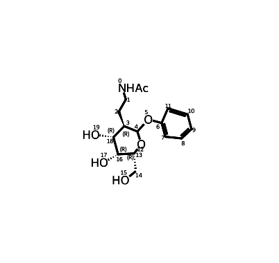 CC(=O)NCC[C@H]1C(Oc2ccccc2)O[C@H](CO)[C@H](O)[C@@H]1O